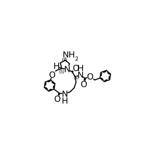 N[C@H]1C[C@H]2COc3cccc(c3)C(=O)NCCC[C@H](NC(=O)OCc3ccccc3)C(=O)N2C1